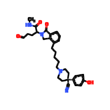 CNC(=O)C(CCC=O)N1Cc2c(CCCCCN3CCC(C#N)(c4ccc(O)cc4)CC3)cccc2C1=O